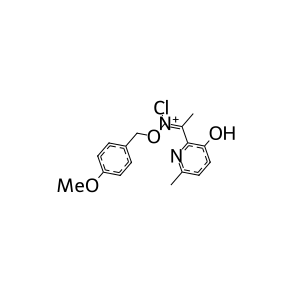 COc1ccc(CO[N+](Cl)=C(C)c2nc(C)ccc2O)cc1